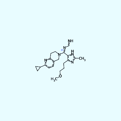 COCCCc1nc(C)[nH]c1/C(=N\C=N)N1CCc2nc(C3CC3)ccc2C1